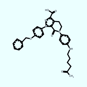 CC(=O)CCCCNc1ccc(N2CCc3c(C(=O)O)nn(-c4ccc(OCc5ccccc5)cc4)c3C2=O)cc1